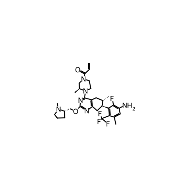 C=CC(=O)N1CCN(c2nc(OC[C@@H]3CCCN3C)nc3c2C[C@H](C)[C@@H](c2c(F)c(N)cc(C)c2C(F)(F)F)C3)[C@@H](C)C1